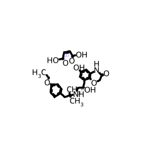 CCOc1ccc(CC(C)(C)NC[C@H](O)c2cc(O)cc3c2OCC(=O)N3)cc1.O=C(O)/C=C\C(=O)O